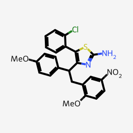 COc1ccc(C(Cc2cc([N+](=O)[O-])ccc2OC)c2nc(N)sc2-c2ccccc2Cl)cc1